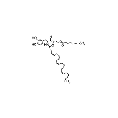 CC/C=C\C/C=C\C/C=C\C/C=C\C/C=C\C/C=C\CCC(=O)N[C@@H](Cc1ccc(O)c(O)c1)C(=O)OCCOC(=O)CCCCCCC